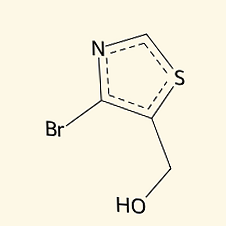 OCc1scnc1Br